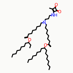 C=C(CCCCCCCN(CCCCCCCC(=C)OC(CCCCCCCC)CCCCCCCC)CCCNc1c(C)c(=O)c1=O)OC(CC)CCCCCCCC